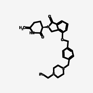 C=C1CC[C@@H](N2Cc3c(OCc4ccc(CN5CCN(CC(C)C)CC5)cc4)cccc3C2=O)C(=O)N1